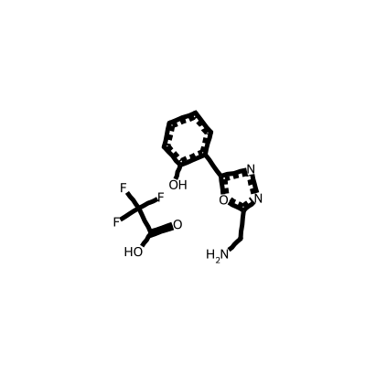 NCc1nnc(-c2ccccc2O)o1.O=C(O)C(F)(F)F